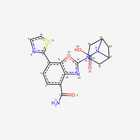 NC(=O)c1ccc(-c2nccs2)c2oc(N3CC4CC(C3)N4C(=O)O)nc12